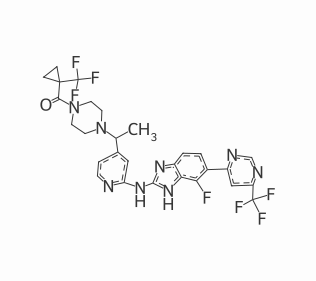 CC(c1ccnc(Nc2nc3ccc(-c4cc(C(F)(F)F)ncn4)c(F)c3[nH]2)c1)N1CCN(C(=O)C2(C(F)(F)F)CC2)CC1